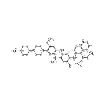 CCc1cc(Nc2ncc(Br)c(Nc3ccc4nccnc4c3N(SC)C3CC3)n2)c(OC)cc1N1CCC(N2CCN(C)CC2)CC1